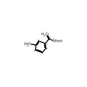 C=C(CCCCC)c1cccc(C)c1